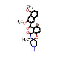 COc1cc2c(OC)cccc2cc1C(=O)c1c(Br)ccc2c1C(=O)N(C)C1(CCNCC1)O2